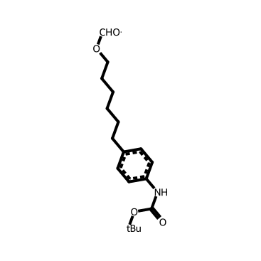 CC(C)(C)OC(=O)Nc1ccc(CCCCCCO[C]=O)cc1